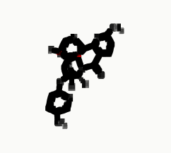 Cc1ccc(C(=O)N2C[C@@H]3CC[C@H]2[C@H](Oc2ccc(C(F)(F)F)cn2)C3)c(-c2ncc(F)cn2)n1